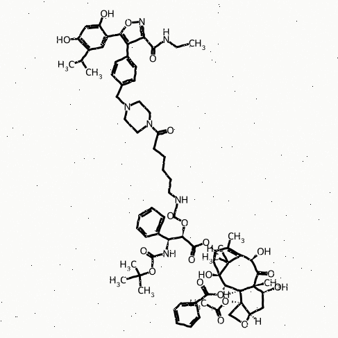 CCNC(=O)c1noc(-c2cc(C(C)C)c(O)cc2O)c1-c1ccc(CN2CCN(C(=O)CCCCCNC(=O)O[C@@H](C(=O)O[C@H]3C[C@@]4(O)[C@@H](OC(=O)c5ccccc5)[C@@H]5[C@]6(OC(C)=O)CO[C@@H]6C[C@H](O)[C@@]5(C)C(=O)[C@H](O)C(=C3C)C4(C)C)[C@@H](NC(=O)OC(C)(C)C)c3ccccc3)CC2)cc1